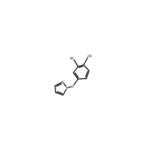 N#Cc1ccc(On2c[c]cn2)cc1C#N